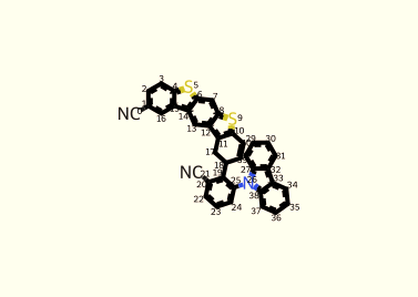 N#Cc1ccc2sc3cc4sc5c(c4cc3c2c1)CC(c1c(C#N)cccc1-n1c2ccccc2c2ccccc21)C=C5